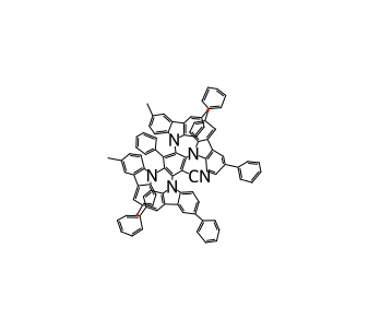 Cc1ccc2c(c1)c1cc(C)ccc1n2-c1c(-c2ccccc2)c(-n2c3ccc(C)cc3c3cc(C)ccc32)c(-n2c3ccc(-c4ccccc4)cc3c3cc(-c4ccccc4)ccc32)c(C#N)c1-n1c2ccc(-c3ccccc3)cc2c2cc(-c3ccccc3)ccc21